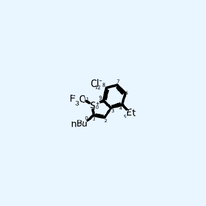 CCCCc1cc2c(CC)cccc2[s+]1C(F)(F)F.[Cl-]